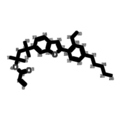 C=CC(=O)OC(C)(C)CC(C)(C)c1ccc2cc(-c3ccc(CCCCC)cc3CC)oc2c1